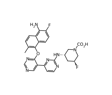 Cc1ccc2c(N)c(F)ccc2c1Oc1ncncc1-c1ccnc(N[C@H]2C[C@H](F)CN(C(=O)O)C2)n1